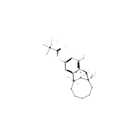 CCCCCCCC(C)(C)C(=O)Oc1cc(F)c2c(c1)[C@@]1(C)CCCCC[C@@H](C2)[C@@H]1N